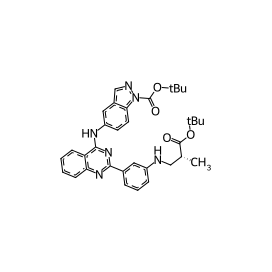 C[C@H](CNc1cccc(-c2nc(Nc3ccc4c(cnn4C(=O)OC(C)(C)C)c3)c3ccccc3n2)c1)C(=O)OC(C)(C)C